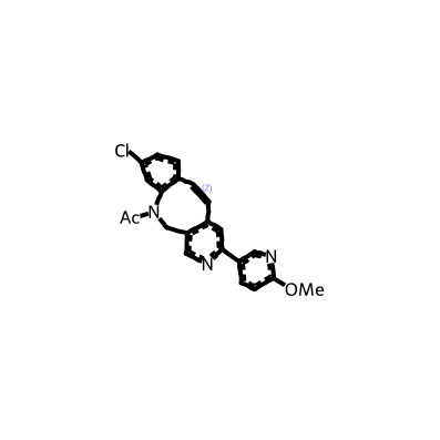 COc1ccc(-c2cc3c(cn2)CN(C(C)=O)c2cc(Cl)ccc2/C=C\3)cn1